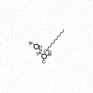 CCCCCCCCCCCC(=O)Oc1c(Br)cc(Cl)cc1C(=S)Nc1ccc(Br)cc1